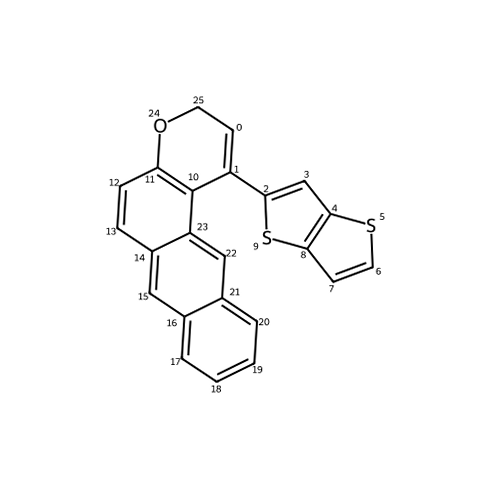 C1=C(c2cc3sccc3s2)c2c(ccc3cc4ccccc4cc23)OC1